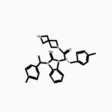 Cc1ccc(C[C@@H](C(=O)N2CC3(CNC3)C2)n2c(=N)n(C(C)c3ccc(C)cc3)c3ccccc32)cc1